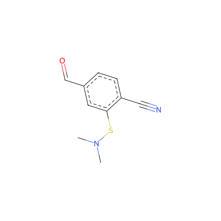 CN(C)Sc1cc(C=O)ccc1C#N